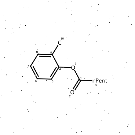 CCCCCC(=O)Oc1ccccc1Cl